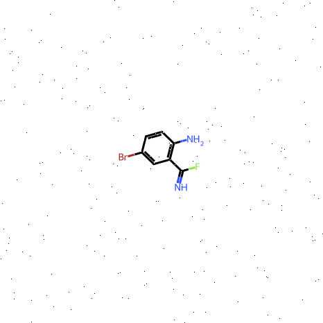 N=C(F)c1cc(Br)ccc1N